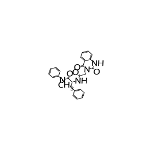 CN(C(=O)[C@H](Cc1ccccc1)NC(=O)Cn1c(=O)[nH]c2ccccc2c1=O)c1ccccc1